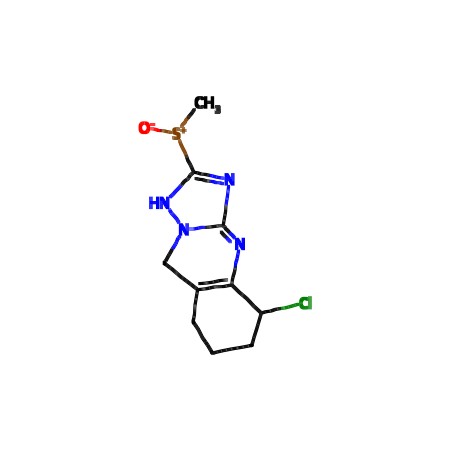 C[S+]([O-])C1=NC2=NC3=C(CCCC3Cl)CN2N1